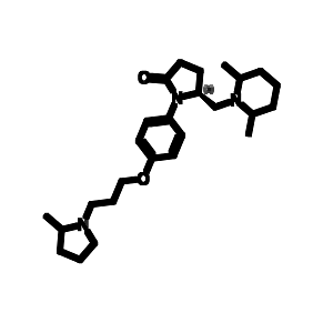 CC1CCCN1CCCOc1ccc(N2C(=O)CC[C@H]2CN2C(C)CCCC2C)cc1